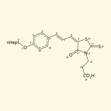 CCCCCCCOc1ccc(C=CC=C2SC(=S)N(CCC(=O)O)C2=O)cc1